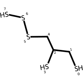 SCC(S)CSSS